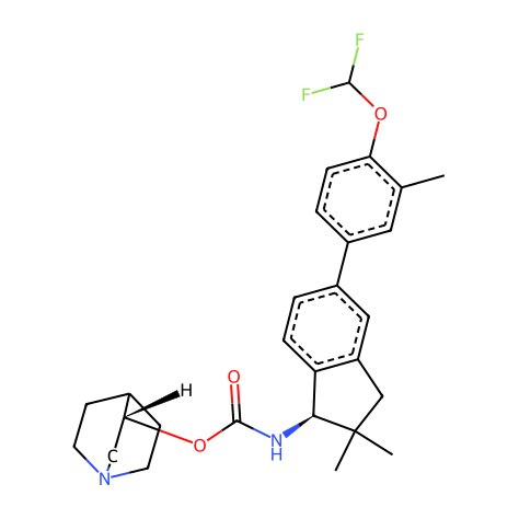 Cc1cc(-c2ccc3c(c2)CC(C)(C)[C@H]3NC(=O)O[C@@H]2CN3CCC2CC3)ccc1OC(F)F